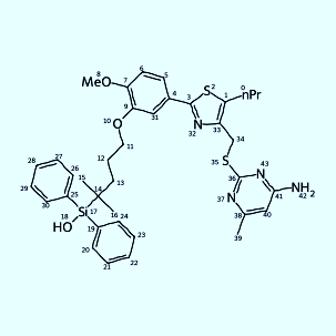 CCCc1sc(-c2ccc(OC)c(OCCCC(C)(C)[Si](O)(c3ccccc3)c3ccccc3)c2)nc1CSc1nc(C)cc(N)n1